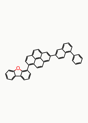 c1ccc(-c2cccc3cc(-c4cc5ccc6ccc(-c7cccc8c7oc7ccccc78)c7ccc(c4)c5c67)ccc23)cc1